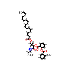 CC/C=C\C/C=C\C/C=C\C/C=C\C/C=C\C/C=C\CC(=O)OCC(C)(C)C(OC(=O)c1ccccc1OC(=O)c1ccccc1OC(C)=O)C(=O)NCCC(=O)O